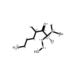 CCC(C)N(C)[C@@](CC)(SSO)C(=O)C(C)CCCN